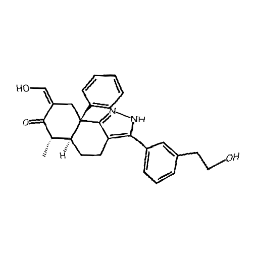 C[C@@H]1C(=O)/C(=C\O)C[C@]2(c3ccccc3)c3n[nH]c(-c4cccc(CCO)c4)c3CC[C@@H]12